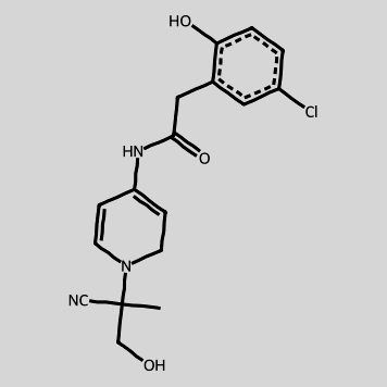 CC(C#N)(CO)N1C=CC(NC(=O)Cc2cc(Cl)ccc2O)=CC1